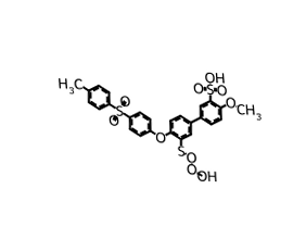 COc1ccc(-c2ccc(Oc3ccc(S(=O)(=O)c4ccc(C)cc4)cc3)c(SOOO)c2)cc1S(=O)(=O)O